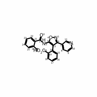 O=C(Nc1onc(-c2cccnc2)c1-c1ccccc1C(=O)O)c1ccccc1F